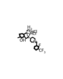 Cc1ccc2c(c1O)C[C@@H](C1CCN(Cc3cccc(C(F)(F)F)c3F)CC1)O[C@H]2CN.Cl.Cl